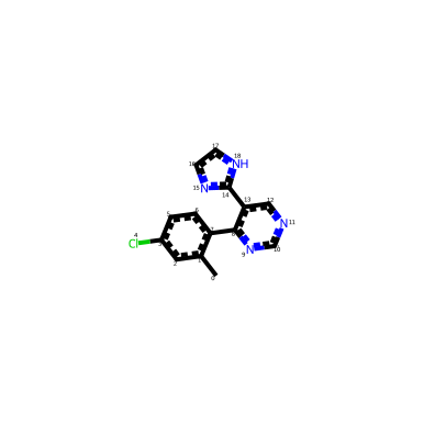 Cc1cc(Cl)ccc1-c1n[c]ncc1-c1ncc[nH]1